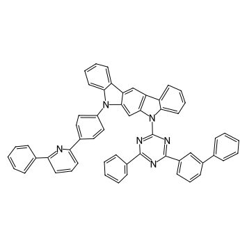 c1ccc(-c2cccc(-c3nc(-c4ccccc4)nc(-n4c5ccccc5c5cc6c7ccccc7n(-c7ccc(-c8cccc(-c9ccccc9)n8)cc7)c6cc54)n3)c2)cc1